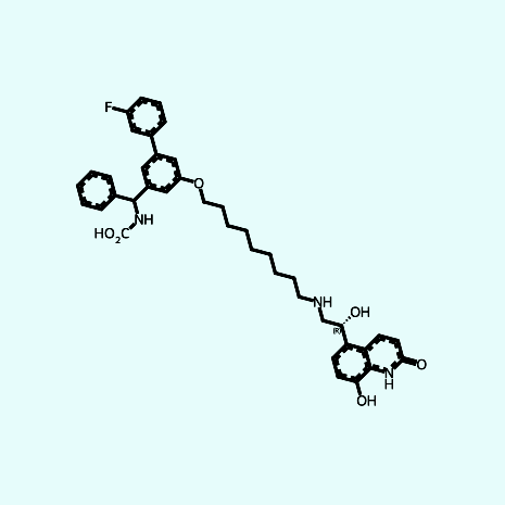 O=C(O)NC(c1ccccc1)c1cc(OCCCCCCCCCNC[C@H](O)c2ccc(O)c3[nH]c(=O)ccc23)cc(-c2cccc(F)c2)c1